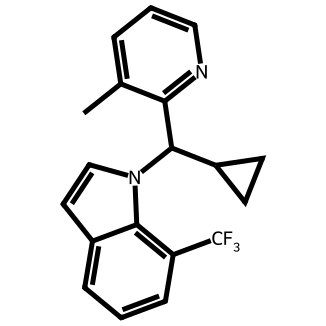 Cc1cccnc1C(C1CC1)n1ccc2cccc(C(F)(F)F)c21